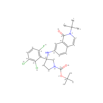 [2H]C([2H])([2H])n1ccc2ccc(NC3(c4c(F)ccc(Cl)c4Cl)CCN(C(=O)OC(C)(C)C)C3)cc2c1=O